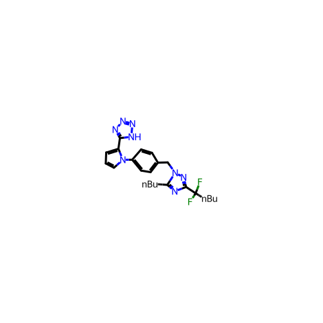 CCCCc1nc(C(F)(F)CCCC)nn1Cc1ccc(-n2cccc2-c2nnn[nH]2)cc1